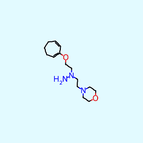 NN(CCOC1=CCCCC=C1)CCN1CCOCC1